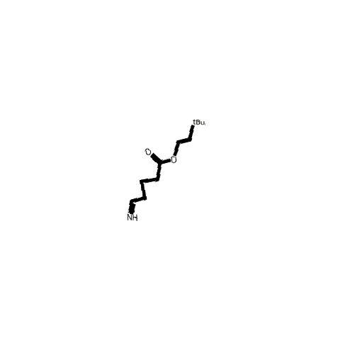 CC(C)(C)CCOC(=O)CCCC=N